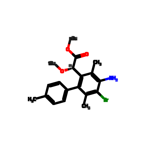 CCCCOC(=O)[C@@H](OC(C)(C)C)c1c(C)c(N)c(Br)c(C)c1-c1ccc(C)cc1